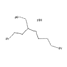 CC(C)CCCCC([CH2][Al])CCC(C)C.[HH]